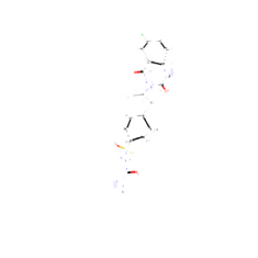 CCCCNC(=O)NS(=O)(=O)c1ccc(CC(CCCC)n2c(=O)[nH]c3ccc(Cl)cc3c2=O)cc1